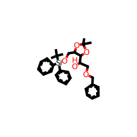 CC1(C)OC(CO[Si](c2ccccc2)(c2ccccc2)C(C)(C)C)C(C(O)COCc2ccccc2)O1